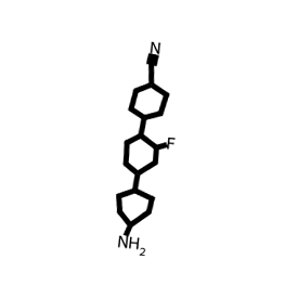 N#CC1CCC(C2CCC(C3CCC(N)CC3)CC2F)CC1